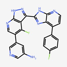 Nc1cncc(-c2cnc3[nH]nc(-c4nc5c(-c6ccc(F)cc6)ccnc5[nH]4)c3c2F)c1